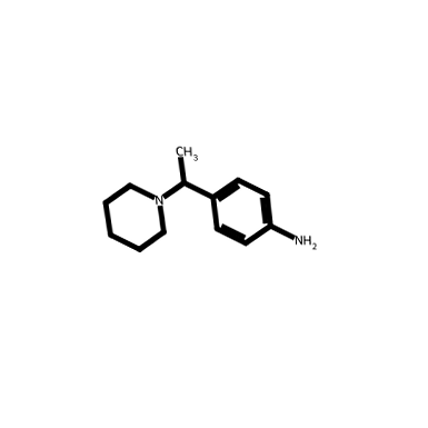 CC(c1ccc(N)cc1)N1CCCCC1